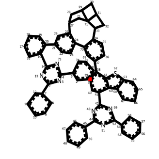 c1ccc(-c2nc(-c3ccccc3)nc(-c3ccccc3-c3ccc4c(c3)C3CC5CC6CC(c7ccc(-c8ccc(-c9nc(-c%10ccccc%10)nc(-c%10ccccc%10)n9)c9c8sc8ccccc89)cc7-4)C56C3)n2)cc1